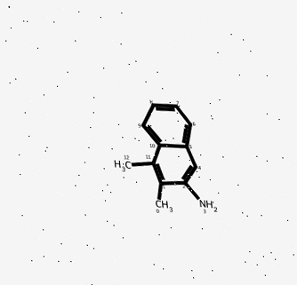 Cc1c(N)cc2ccccc2c1C